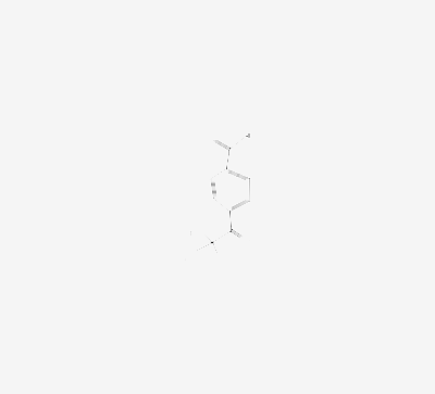 CCC(C)(C)C(=O)c1ccc(C(=O)C(C)C)cc1